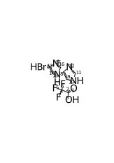 Br.O=C(O)C(F)(F)F.c1c[nH]cn1.c1c[nH]cn1